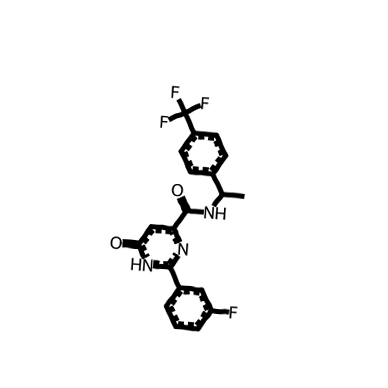 CC(NC(=O)c1cc(=O)[nH]c(-c2cccc(F)c2)n1)c1ccc(C(F)(F)F)cc1